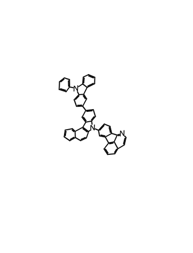 c1ccc(-n2c3ccccc3c3cc(-c4ccc5c(c4)c4c6ccccc6ccc4n5-c4ccc5c(c4)-c4cccc6ccnc-5c46)ccc32)cc1